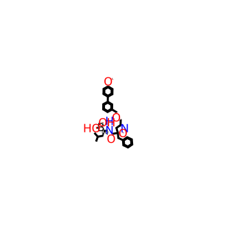 COc1ccc(-c2cccc(COCC3=NOC(Cc4ccccc4)(C(=O)N[C@@H](CC(C)C)B(O)O)C3)c2)cc1